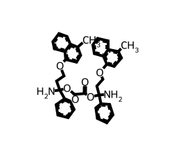 Cc1ccc(OCCC(N)(OC(=O)C(=O)OC(N)(CCOc2ccc(C)c3ccccc23)c2ccccc2)c2ccccc2)c2ccccc12